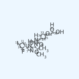 CO[C@H](C)[C@@H](c1ncc(-c2ccc(I)cc2F)[nH]1)N1C(=O)NC(c2ccc(OC[C@@H](O)CO)cc2)C1=O